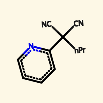 CCCC(C#N)(C#N)c1ccccn1